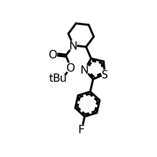 CC(C)(C)OC(=O)N1CCCCC1c1csc(-c2ccc(F)cc2)n1